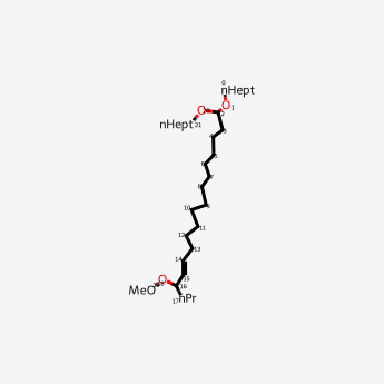 CCCCCCCOC(CCCCCCCCCCCC=CC(CCC)OOC)OCCCCCCC